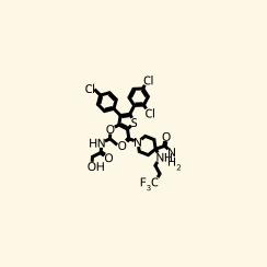 CC(NC(=O)CO)Oc1c(C(=O)N2CCC(NCCC(F)(F)F)(C(N)=O)CC2)sc(-c2ccc(Cl)cc2Cl)c1-c1ccc(Cl)cc1